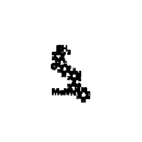 CNc1cc(-c2cncc(-c3ccc(C(=O)N4CCN(C)CC4)cc3)c2)nc(-c2ccccn2)n1